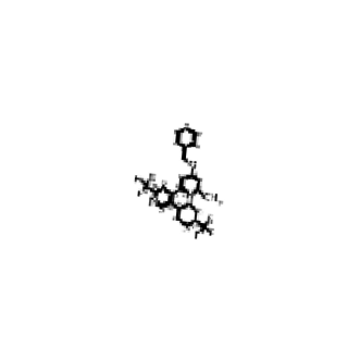 Cc1cc(OCc2ccccc2)cc(-c2cc(C(F)(F)F)ncc2C2CCC(C(F)(F)F)CC2)n1